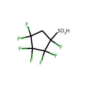 O=S(=O)(O)C1(F)CC(F)(F)C(F)(F)C1(F)F